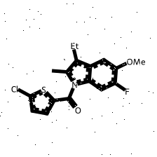 CCc1c(C)n(C(=O)c2ccc(Cl)s2)c2cc(F)c(OC)cc12